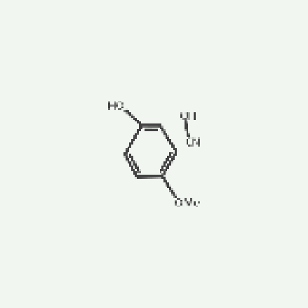 COc1ccc(O)cc1.N#CO